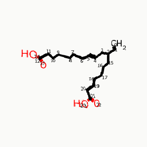 C=CC(CC=CCCCCCCC(=O)O)CCCCCCC(=O)O